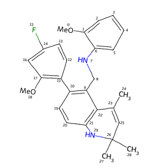 COc1ccccc1NCc1c(-c2ccc(F)cc2OC)ccc2c1C(C)=CC(C)(C)N2